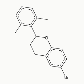 Cc1cccc(C)c1C1CCc2cc(Br)ccc2O1